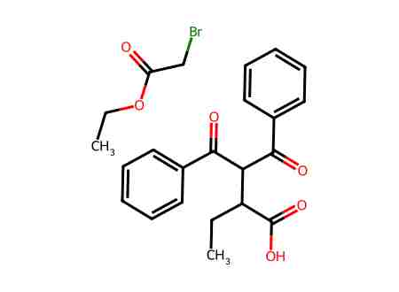 CCC(C(=O)O)C(C(=O)c1ccccc1)C(=O)c1ccccc1.CCOC(=O)CBr